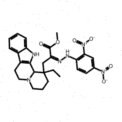 CCC1(CC(=NNc2ccc([N+](=O)[O-])cc2[N+](=O)[O-])C(=O)OC)CCCN2CCc3c([nH]c4ccccc34)C21